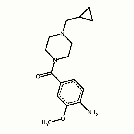 COc1cc(C(=O)N2CCN(CC3CC3)CC2)ccc1N